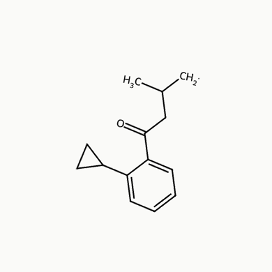 [CH2]C(C)CC(=O)c1ccccc1C1CC1